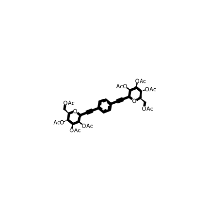 CC(=O)OC[C@H]1OC(C#Cc2ccc(C#CC3O[C@H](COC(C)=O)[C@@H](OC(C)=O)[C@H](OC(C)=O)[C@@H]3OC(C)=O)cc2)[C@@H](OC(C)=O)[C@@H](OC(C)=O)[C@@H]1OC(C)=O